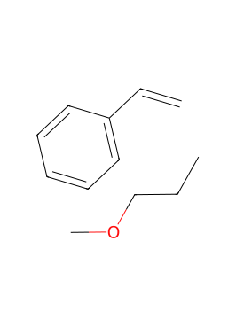 C=Cc1ccccc1.CCCOC